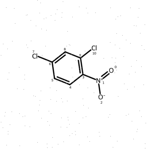 O=[N+]([O-])c1ccc(Cl)[c]c1Cl